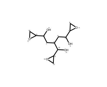 OC(CC(CC(O)C1CO1)C(O)C1CO1)C1CO1